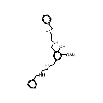 COc1cc(CNCCNCc2ccccc2)cc(CNCCNCc2ccccc2)c1O